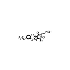 CCn1c(Oc2cccc(OC(F)(F)F)c2)nc2c1c(=O)n(CCCO)c(=O)n2CC